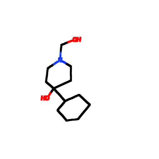 OCN1CCC(O)(C2CCCCC2)CC1